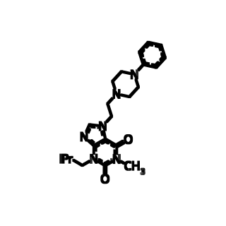 CC(C)Cn1c(=O)n(C)c(=O)c2c1ncn2CCN1CCN(c2ccccc2)CC1